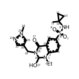 CCN1c2ccc(S(=O)(=O)NC3(C)CC3)cc2C(=O)N(Cc2cnn(C)c2)C1O